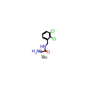 CCC(C)[C@H](N)C(=O)NCc1cccc(Cl)c1Cl